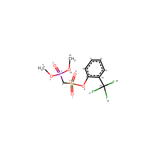 COP(=O)(CS(=O)(=O)Oc1ccccc1C(F)(F)F)OC